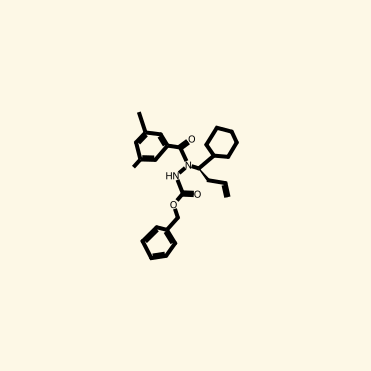 C=CC[C@H](C1CCCCC1)N(NC(=O)OCc1ccccc1)C(=O)c1cc(C)cc(C)c1